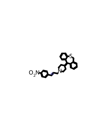 O=[N+]([O-])c1ccc(/C=C/CN2CCC(=C3c4ccccc4CSc4ccccc43)CC2)cc1